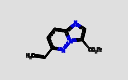 C=Cc1ccc2ncc(C(=O)OCC)n2n1